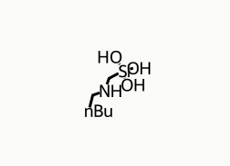 CCCCCNC[Si](O)(O)O